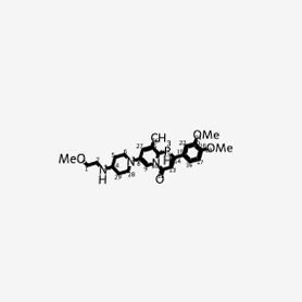 COCCNC1CCN(C2=CN3C(=O)C=C(c4ccc(OC)c(OC)c4)PC3C(C)=C2)CC1